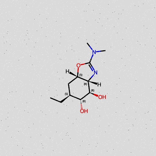 CC[C@H]1C[C@@H]2OC(N(C)C)=N[C@@H]2[C@@H](O)[C@@H]1O